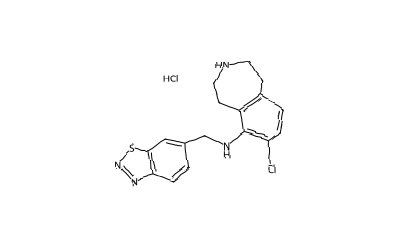 Cl.Clc1ccc2c(c1NCc1ccc3nnsc3c1)CCNCC2